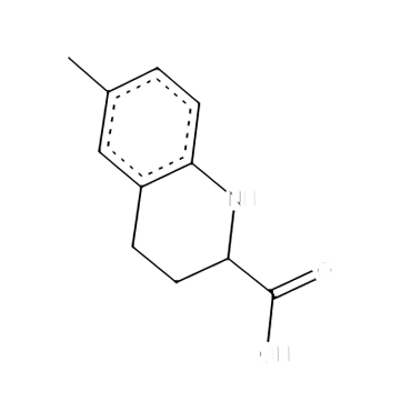 Cc1ccc2c(c1)CCC(C(=O)O)N2